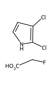 Clc1cc[nH]c1Cl.O=C(O)CF